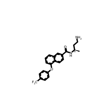 C[C@H](CCN)NC(=O)c1ccc2c(Oc3ccc(C(F)(F)F)cc3)cccc2c1